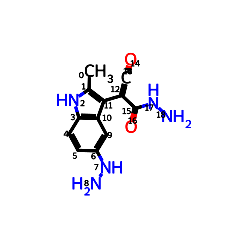 Cc1[nH]c2ccc(NN)cc2c1C(=C=O)C(=O)NN